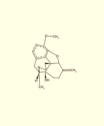 C=C1CC[C@]2(O)[C@@H]3Cc4ccc(OC)c5c4[C@]2(CCN3C)C1O5